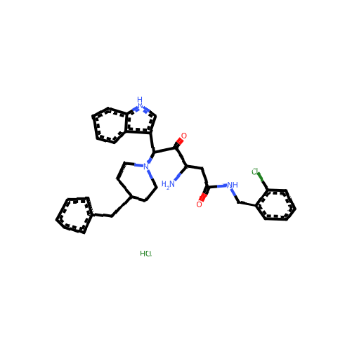 Cl.NC(CC(=O)NCc1ccccc1Cl)C(=O)C(c1c[nH]c2ccccc12)N1CCC(Cc2ccccc2)CC1